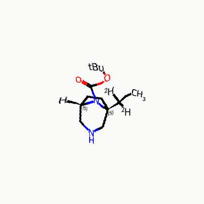 [2H]C([2H])(C)[C@@]12CC[C@@H](CNC1)N2C(=O)OC(C)(C)C